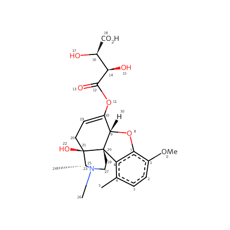 COc1ccc(C)c2c1O[C@H]1C(OC(=O)[C@H](O)[C@@H](O)C(=O)O)=CC[C@@]3(O)[C@@H](C)N(C)CC[C@]213